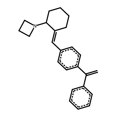 C=C(c1ccccc1)c1ccc(C=C2CCCCC2N2CCC2)cc1